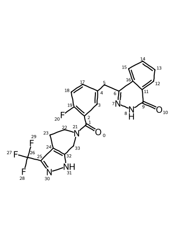 O=C(c1cc(Cc2n[nH]c(=O)c3ccccc23)ccc1F)N1CCc2c(C(F)(F)F)n[nH]c2C1